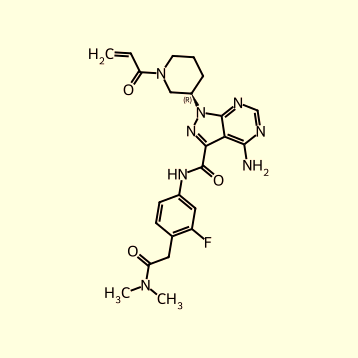 C=CC(=O)N1CCC[C@@H](n2nc(C(=O)Nc3ccc(CC(=O)N(C)C)c(F)c3)c3c(N)ncnc32)C1